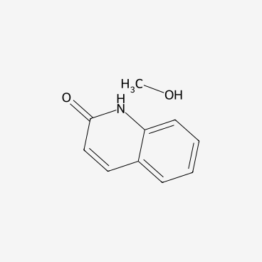 CO.O=c1ccc2ccccc2[nH]1